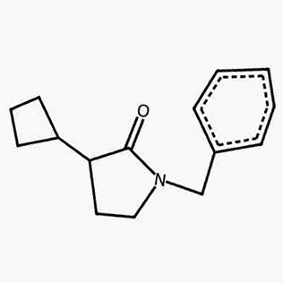 O=C1C(C2CCC2)CCN1Cc1ccccc1